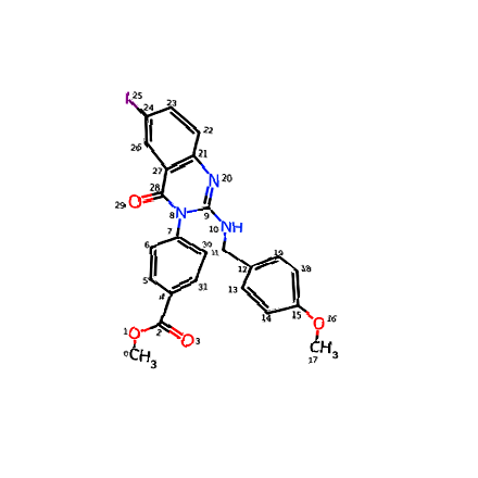 COC(=O)c1ccc(-n2c(NCc3ccc(OC)cc3)nc3ccc(I)cc3c2=O)cc1